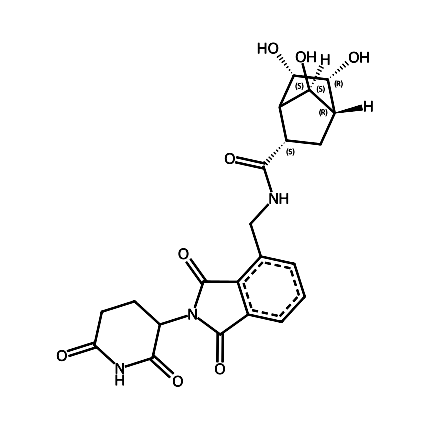 O=C1CCC(N2C(=O)c3cccc(CNC(=O)[C@H]4C[C@H]5[C@@H](O)[C@@H](O)C4[C@H]5O)c3C2=O)C(=O)N1